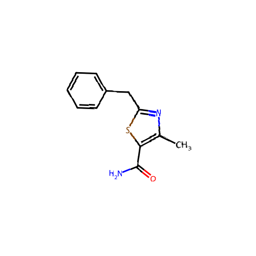 Cc1nc(Cc2ccccc2)sc1C(N)=O